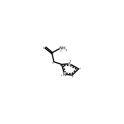 C=C(N)Cc1nccs1